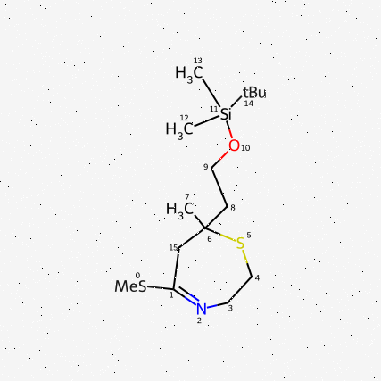 CSC1=NCCSC(C)(CCO[Si](C)(C)C(C)(C)C)C1